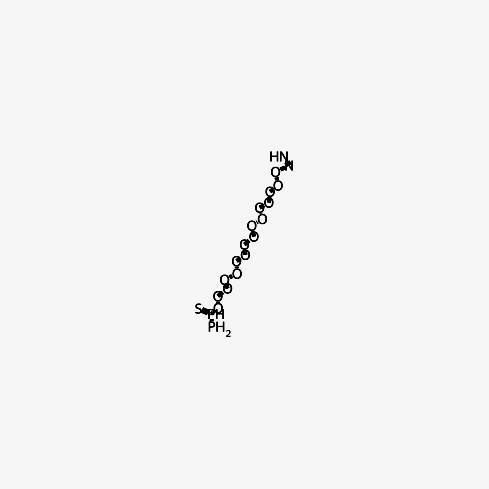 N=NOOOOOOOOOOOOOOOO[PH](P)=S